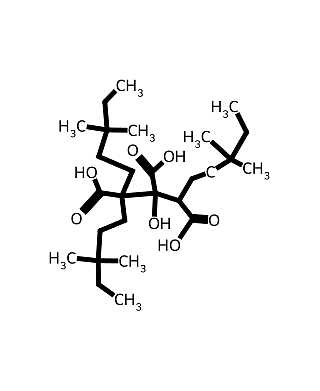 CCC(C)(C)CCC(C(=O)O)C(O)(C(=O)O)C(CCC(C)(C)CC)(CCC(C)(C)CC)C(=O)O